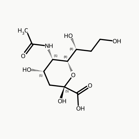 CC(=O)N[C@@H]1[C@H]([C@H](O)CCO)O[C@](O)(C(=O)O)C[C@@H]1O